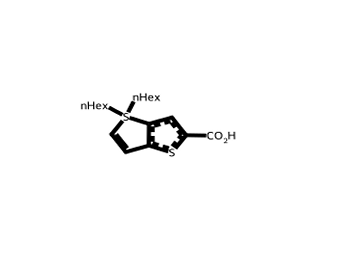 CCCCCCS1(CCCCCC)C=Cc2sc(C(=O)O)cc21